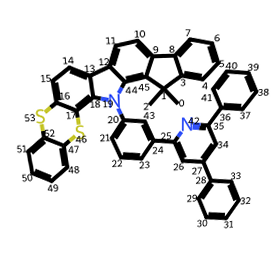 CC1(C)c2ccccc2-c2ccc3c4ccc5c(c4n(-c4cccc(-c6cc(-c7ccccc7)cc(-c7ccccc7)n6)c4)c3c21)Sc1ccccc1S5